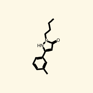 CCCCn1[nH]c(-c2cccc(C)c2)cc1=O